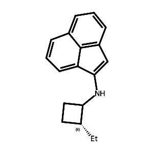 CC[C@@H]1CCC1NC1=Cc2cccc3cccc1c23